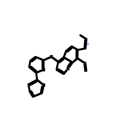 C=Nc1c(/C=C\C)ccc2c(Oc3cccc(-c4ccccn4)n3)ccnc12